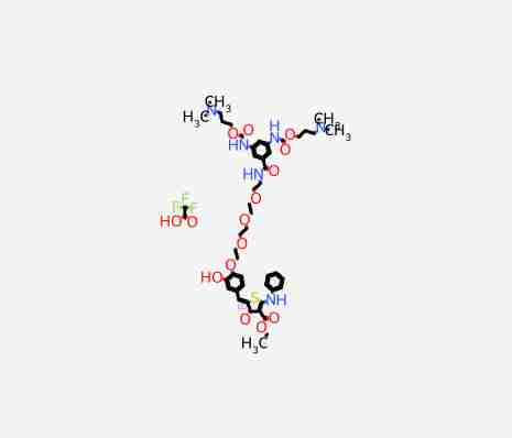 CCOC(=O)C1=C(Nc2ccccc2)S/C(=C\c2ccc(OCCOCCOCCOCCNC(=O)c3cc(NC(=O)OCCCN(C)C)cc(NC(=O)OCCCN(C)C)c3)c(O)c2)C1=O.O=C(O)C(F)(F)F